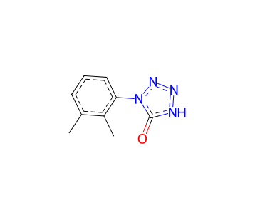 Cc1cccc(-n2nn[nH]c2=O)c1C